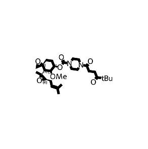 CO[C@H]1[C@H](C2(C)O[C@@H]2CC=C(C)C)[C@]2(CC[C@H]1OC(=O)N1CCN(C(=O)CCC(=O)C(C)(C)C)CC1)CO2